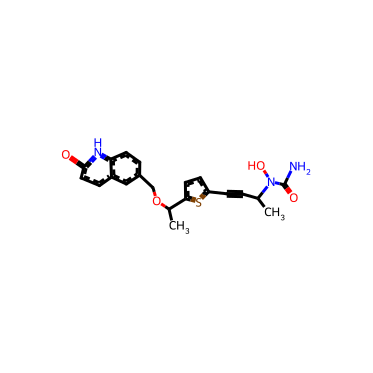 CC(OCc1ccc2[nH]c(=O)ccc2c1)c1ccc(C#CC(C)N(O)C(N)=O)s1